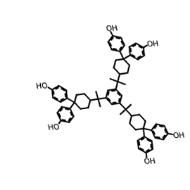 CC(C)(c1cc(C(C)(C)C2CCC(c3ccc(O)cc3)(c3ccc(O)cc3)CC2)cc(C(C)(C)C2CCC(c3ccc(O)cc3)(c3ccc(O)cc3)CC2)c1)C1CCC(c2ccc(O)cc2)(c2ccc(O)cc2)CC1